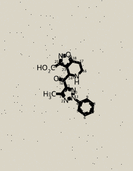 Cc1nn(-c2ccccc2)nc1C(=O)C1NCCc2onc(C(=O)O)c21